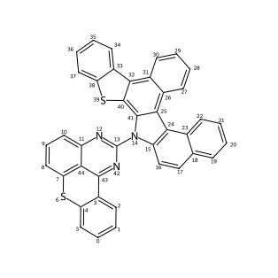 c1ccc2c(c1)Sc1cccc3nc(-n4c5ccc6ccccc6c5c5c6ccccc6c6c7ccccc7sc6c54)nc-2c13